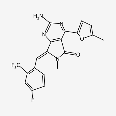 Cc1ccc(-c2nc(N)nc3c2C(=O)N(C)C3=Cc2ccc(F)cc2C(F)(F)F)o1